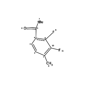 Cc1ccc(C(=O)C(C)(C)C)c(F)c1F